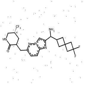 NC(c1cn2nc(CC3C[C@@H](C(F)(F)F)CNC3=O)ccc2n1)C1CC2(C1)CC(F)(F)C2